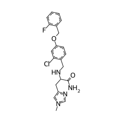 Cn1cnc(CC(NCc2ccc(OCc3ccccc3F)cc2Cl)C(N)=O)c1